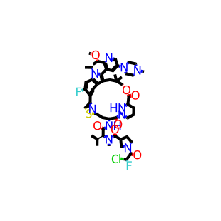 CCn1c(-c2cc(N3CCN(C)CC3)cnc2C(C)OC)c2c3cc(c(F)cc31)-c1csc(n1)C[C@H](NC(=O)[C@H](C(C)C)N(C)C(=O)C1CCN(C(=O)C(F)Cl)C1)C(=O)N1CCCC(N1)C(=O)OCC(C)(C)C2